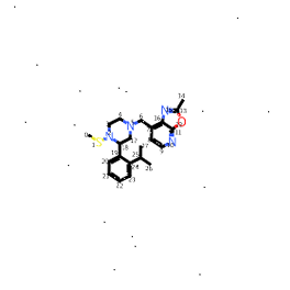 CSN1CCN(Cc2ccnc3oc(C)nc23)CC1c1ccccc1C(C)C